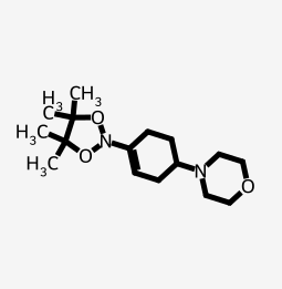 CC1(C)ON(C2=CCC(N3CCOCC3)CC2)OC1(C)C